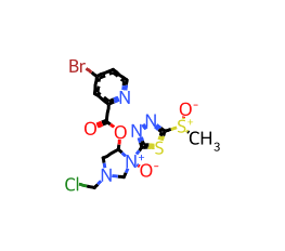 C[S+]([O-])c1nnc([N+]2([O-])CN(CCl)CC2OC(=O)c2cc(Br)ccn2)s1